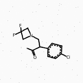 CC(=O)C(CN1CC(F)(F)C1)c1ccc(Cl)cc1